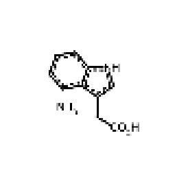 N.O=C(O)Cc1c[nH]c2ccccc12